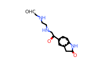 O=CCNCCNCC(=O)c1ccc2c(c1)CC(=O)N2